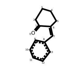 O=C1CCCCC1=Cc1c[c]ccc1